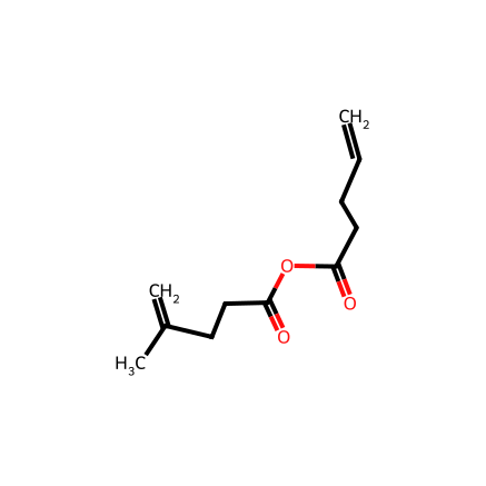 C=CCCC(=O)OC(=O)CCC(=C)C